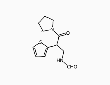 O=CNCC(C(=O)N1[CH]CCC1)c1cccs1